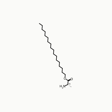 CCCCCCCCCCCCCCCCCCOC(=O)[C@H](C)N